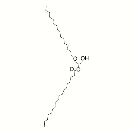 CCCCCCCCCCCCCCCCCC(=O)OC(CO)COCCCCCCCCCCCCCCCC